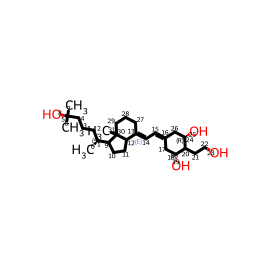 C[C@@H](CCCC(C)(C)O)C1CCC2/C(=C/C=C3C[C@@H](O)C(CCO)[C@H](O)C3)CCCC21C